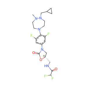 CN1CCN(c2c(F)cc(N3C[C@H](CNC(=O)C(F)F)OC3=O)cc2F)CCN1CC1CC1